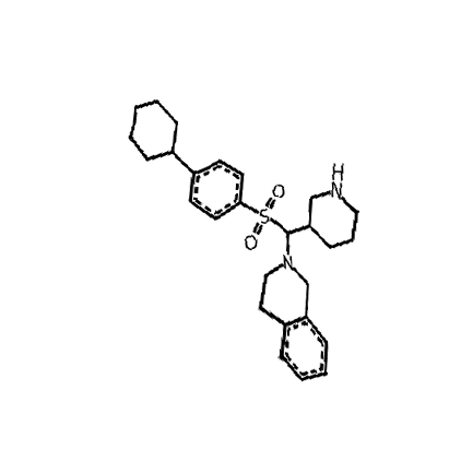 O=S(=O)(c1ccc(C2CCCCC2)cc1)C(C1CCCNC1)N1CCc2ccccc2C1